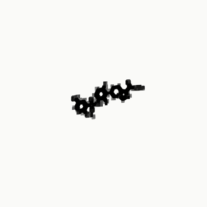 CNC(=O)c1ncn2c1CC[C@H](c1c(F)ccc(NS(=O)(=O)c3cc(Cl)cnc3C)c1F)C2